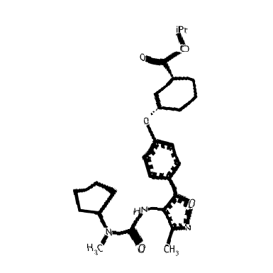 Cc1noc(-c2ccc(O[C@H]3CCC[C@H](C(=O)OC(C)C)C3)cc2)c1NC(=O)N(C)C1CCCC1